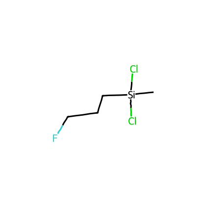 C[Si](Cl)(Cl)CCCF